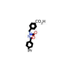 CC(C)C1C=CC(c2nn(Cc3ccc(C(=O)O)cc3)c(=O)o2)=CC1